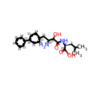 CC(C)C[C@H](NC(=O)C(O)C(N)Cc1ccc(-c2ccccc2)cc1)C(=O)O